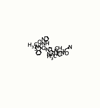 C[C@@H]1CCN(C(=O)CC#N)C[C@@H]1N(C)c1ncnc2c1ccn2COC1=C(C(=O)Nc2ccccn2)N(C)Sc2ccccc21